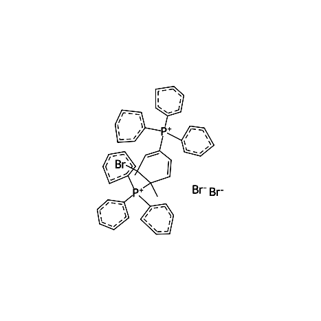 CC1(Br)C=C([P+](c2ccccc2)(c2ccccc2)c2ccccc2)C=CC1(C)[P+](c1ccccc1)(c1ccccc1)c1ccccc1.[Br-].[Br-]